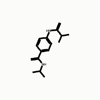 C=C(NC(C)C)c1ccc(NC(=C)C(C)C)cc1